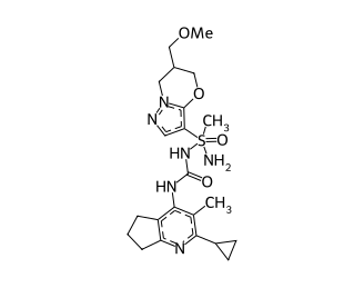 COCC1COc2c(S(C)(N)(=O)NC(=O)Nc3c(C)c(C4CC4)nc4c3CCC4)cnn2C1